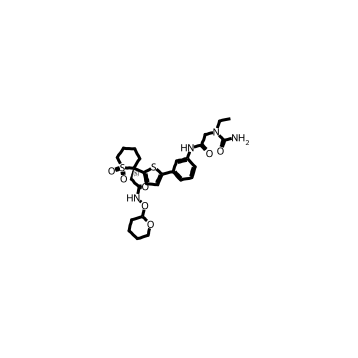 CCN(CC(=O)Nc1cccc(-c2ccc([C@@]3(CC(=O)NOC4CCCCO4)CCCCS3(=O)=O)s2)c1)C(N)=O